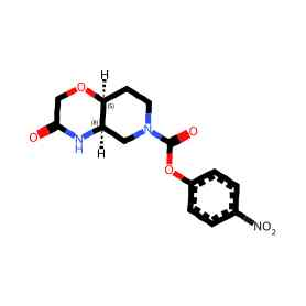 O=C1CO[C@H]2CCN(C(=O)Oc3ccc([N+](=O)[O-])cc3)C[C@H]2N1